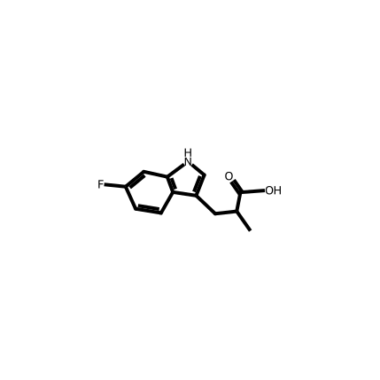 CC(Cc1c[nH]c2cc(F)ccc12)C(=O)O